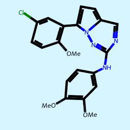 COc1ccc(Nc2ncc3ccc(-c4cc(Cl)ccc4OC)n3n2)cc1OC